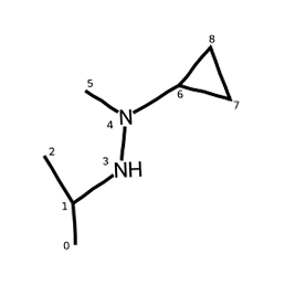 CC(C)NN(C)C1CC1